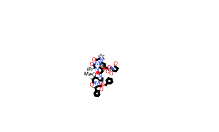 CC[C@H](C)[C@@H]([C@@H](CC(=O)N1CCC[C@H]1[C@H](OC)[C@@H](C)C(=O)N[C@H](C(=O)OCc1ccccc1)[C@@H](C)c1ccccc1)OC)N(C)[C@H](C(=O)NC(=O)[C@H](C(C)C)N(C)CCCC(=O)ON1C(=O)CCC1=O)C(C)C